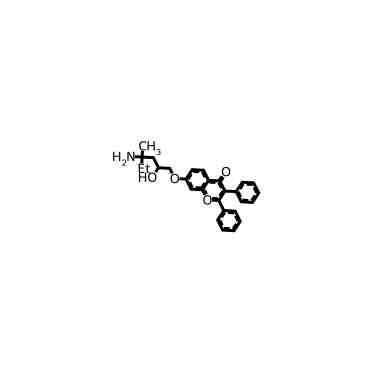 CCC(C)(N)CC(O)COc1ccc2c(=O)c(-c3ccccc3)c(-c3ccccc3)oc2c1